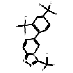 FC(F)(F)c1ccc(-c2ccc3nnc(C(F)(F)F)n3c2)c(C(F)(F)F)c1